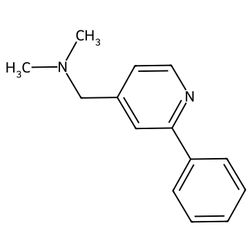 CN(C)Cc1ccnc(-c2ccccc2)c1